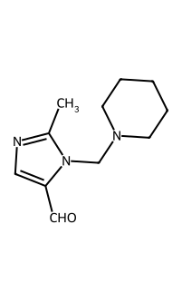 Cc1ncc(C=O)n1CN1CCCCC1